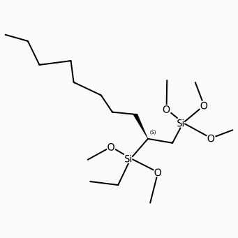 CCCCCCCC[C@@H](C[Si](OC)(OC)OC)[Si](CC)(OC)OC